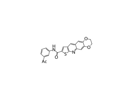 CC(=O)c1cccc(NC(=O)c2cc3cc4cc5c(cc4nc3s2)OCCO5)c1